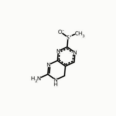 C[S+]([O-])c1ncc2c(n1)N=C(N)NC2